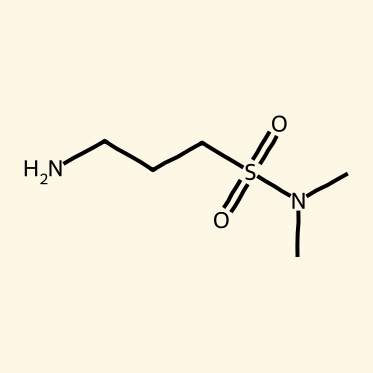 CN(C)S(=O)(=O)CCCN